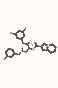 CCc1cccc(CNCC(OC(=O)c2cc3ccccn3c2)C(N)Cc2cc(F)cc(F)c2)c1